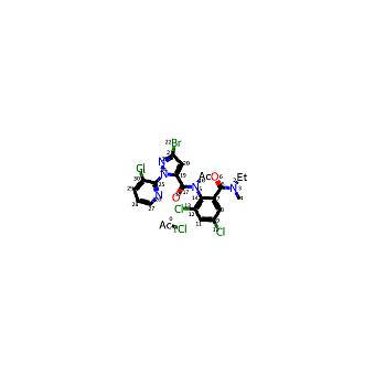 CC(=O)Cl.CCN(C)C(=O)c1cc(Cl)cc(Cl)c1N(C(C)=O)C(=O)c1cc(Br)nn1-c1ncccc1Cl